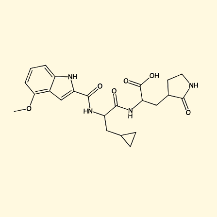 COc1cccc2[nH]c(C(=O)NC(CC3CC3)C(=O)NC(CC3CCNC3=O)C(=O)O)cc12